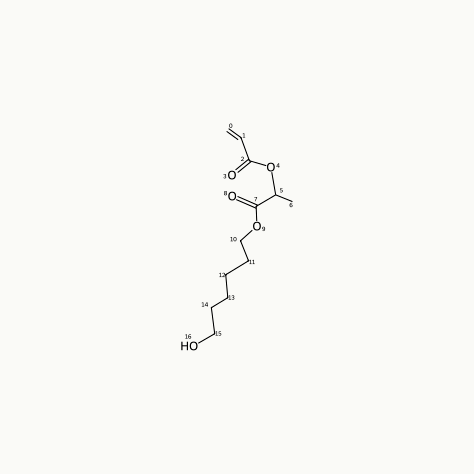 C=CC(=O)OC(C)C(=O)OCCCCCCO